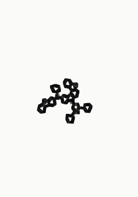 c1ccc(-c2cc(-n3c4ccc(N(c5ccccc5)c5ccc6c(c5)oc5ccccc56)cc4c4c5c(ccc43)oc3ccccc35)cc(-c3ccccc3)n2)cc1